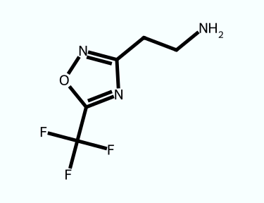 NCCc1noc(C(F)(F)F)n1